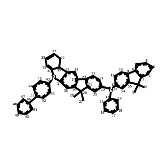 CC1(C)c2ccccc2-c2ccc(N(c3ccccc3)c3ccc4c(c3)C(C)(C)c3cc5c(cc3-4)C3CC=CC=C3N5c3ccc(-c4ccccc4)cc3)cc21